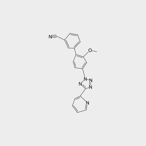 COc1cc(-n2nnc(-c3ccccn3)n2)ccc1-c1cccc(C#N)c1